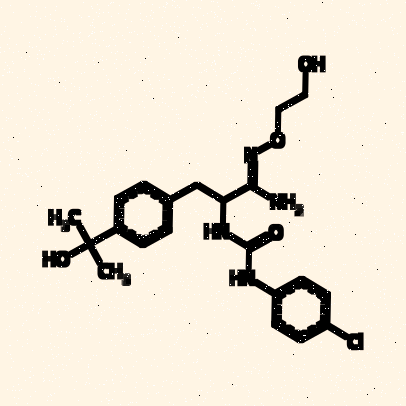 CC(C)(O)c1ccc(CC(NC(=O)Nc2ccc(Cl)cc2)C(N)=NOCCO)cc1